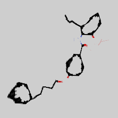 CCc1[c]ccc(O)c1NC(=O)c1ccc(OCCCCc2ccccc2)cc1